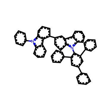 c1ccc(-c2cc(-c3ccccc3)c(-n3c4ccccc4c4cc(-c5cccc6c5c5ccccc5n6-c5ccccc5)ccc43)c(-c3ccccc3)c2)cc1